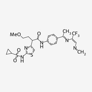 C=N/C=C(\N=C(/C)c1ccc(NC(=O)C(CCOC)c2csc(NS(=O)(=O)C3CC3)n2)cc1)C(F)(F)F